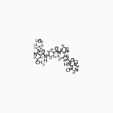 Cc1cnc(N2CC3(CCOCC3)C2)c(C(=O)Nc2ccc(C(=O)N3CCc4cc(C(=O)Nc5c(Cl)cncc5Cl)sc4-c4ncccc43)cc2)c1